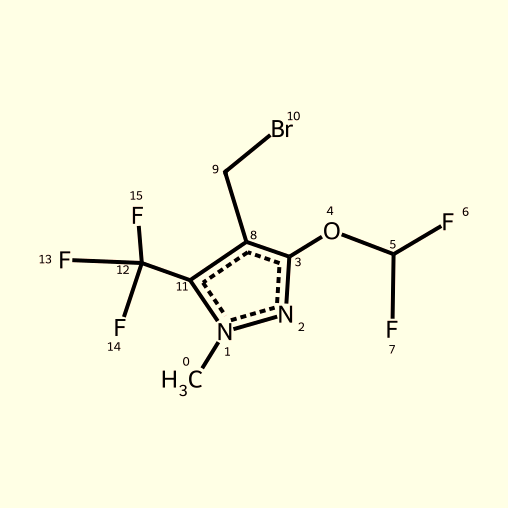 Cn1nc(OC(F)F)c(CBr)c1C(F)(F)F